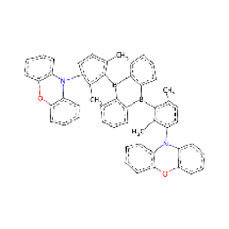 Cc1ccc(N2c3ccccc3Oc3ccccc32)c(C)c1B1c2ccccc2B(c2c(C)ccc(N3c4ccccc4Oc4ccccc43)c2C)c2ccccc21